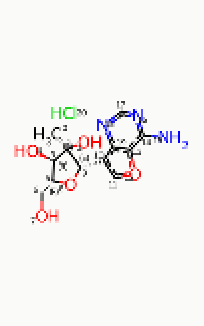 C[C@@]1(O)[C@H](O)[C@@H](CO)O[C@H]1c1coc2c(N)ncnc12.Cl